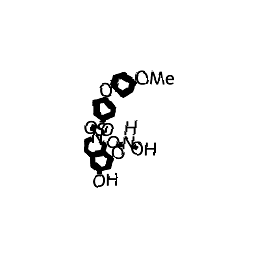 COc1ccc(Oc2ccc(S(=O)(=O)N3CCc4cc(O)ccc4C3OC(=O)NO)cc2)cc1